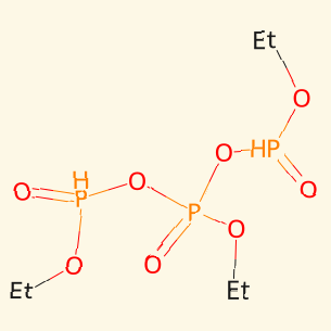 CCO[PH](=O)OP(=O)(OCC)O[PH](=O)OCC